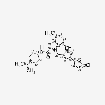 Cc1ccc(C)c2c1cc(C(=O)NC1CCN(C(C)C)CC1)n2Cc1cc(-c2ccc(Cl)s2)on1